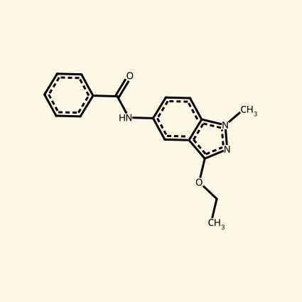 CCOc1nn(C)c2ccc(NC(=O)c3ccccc3)cc12